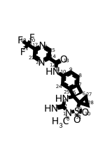 CN1C(=N)N[C@@]2(Cc3ccc(NC(=O)c4cnc(C(F)(F)F)cn4)cc32)C2(CC2)S1(=O)=O